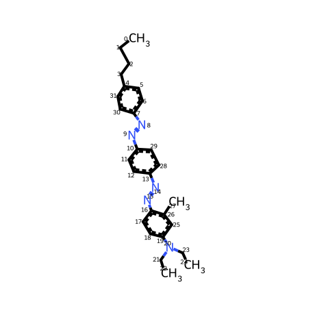 CCCCc1ccc(N=Nc2ccc(N=Nc3ccc(N(CC)CC)cc3C)cc2)cc1